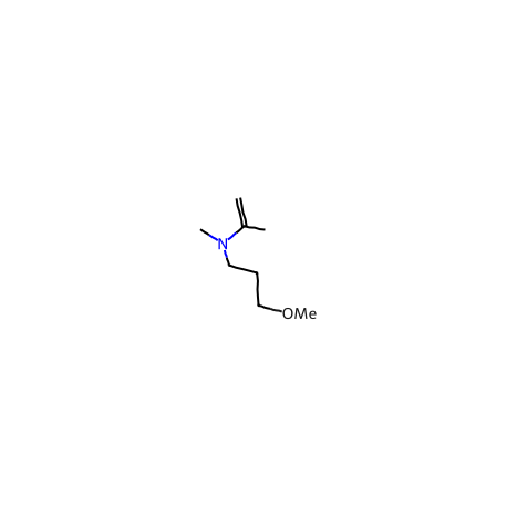 C=C(C)N(C)CCCOC